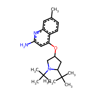 Cc1ccc2c(OC3CC(C(C)(C)C)N(C(C)(C)C)C3)cc(N)nc2c1